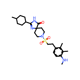 CNc1ccc(CCS(=O)(=O)N2CCC3(CC2)N=C(C2CCC(C)CC2)NC3=O)c(C)c1C